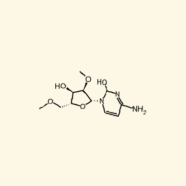 COC[C@H]1O[C@@H](N2C=CC(N)=NC2O)[C@H](OC)[C@@H]1O